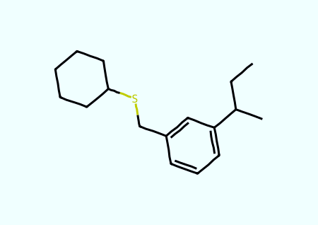 CCC(C)c1cccc(CSC2CCCCC2)c1